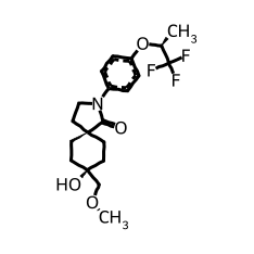 COC[C@]1(O)CC[C@]2(CCN(c3ccc(O[C@@H](C)C(F)(F)F)cc3)C2=O)CC1